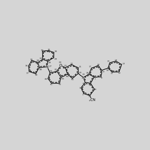 N#Cc1ccc2c(c1)c1cc(-c3ccccc3)ccc1n2-c1ccc2oc3c(-n4c5ccccc5c5ccccc54)cccc3c2c1